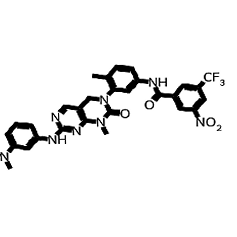 Cc1ccc(NC(=O)c2cc([N+](=O)[O-])cc(C(F)(F)F)c2)cc1N1Cc2cnc(Nc3cccc(N(C)C)c3)nc2N(C)C1=O